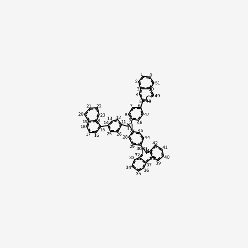 c1ccc2cc(-c3ccc(N(c4ccc(-c5cccc6ccccc56)cc4)c4ccc(-n5c6ccccc6c6ccccc65)cc4)cc3)ccc2c1